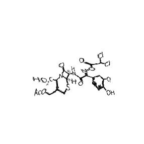 CC(=O)OCC1=C(C(=O)O)N2C(=O)[C@@H](NC(=O)C(=NOC(=O)C(Cl)Cl)c3ccc(O)c(Cl)c3)[C@H]2SC1